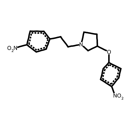 O=[N+]([O-])c1ccc(CCN2CCC(Oc3ccc([N+](=O)[O-])cc3)C2)cc1